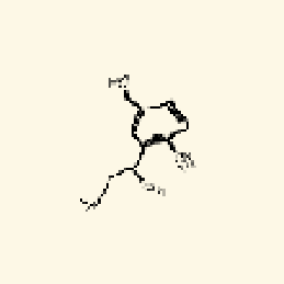 NC[C@H](O)c1cc(O)ccc1O